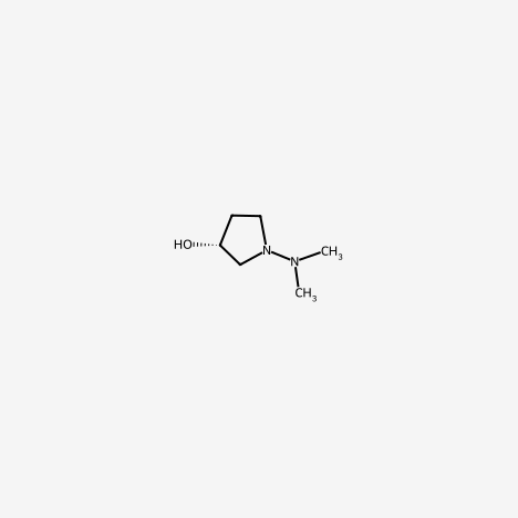 CN(C)N1CC[C@@H](O)C1